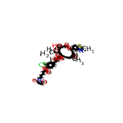 C=CC[C@H]1C(=O)C(C)(C)[C@@H](O)CC(=O)O[C@H](c2ccc3sc(C)nc3c2)C[C@@H]2O[C@]2(C)CCC[C@H](C)[C@@H]1OC(=O)OCc1ccc(OC(=O)CCCCCN2C(=O)C=CC2=O)c(Cl)c1